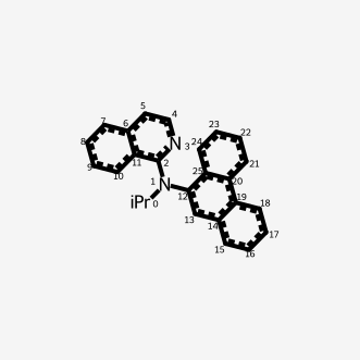 CC(C)N(c1nccc2ccccc12)c1cc2ccccc2c2ccccc12